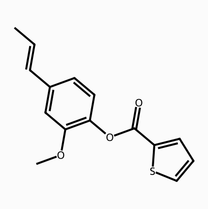 CC=Cc1ccc(OC(=O)c2cccs2)c(OC)c1